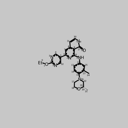 CCOc1ncc(-c2cc3c(c(Nc4ccc(N5CCO[C@@H](C)C5)c(C)c4)n2)C(=O)[N]C=C3)cn1